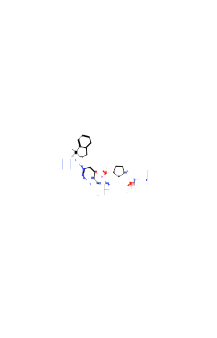 CN(C(=O)[C@@H]1CC[C@H](NC(=O)C(F)(F)F)C1)[C@@H](c1ccc(NC2Cc3ccccc3C2(C)C)cn1)C(F)(F)F